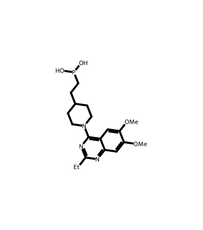 CCc1nc(N2CCC(CCP(O)O)CC2)c2cc(OC)c(OC)cc2n1